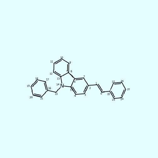 C(=Cc1ccc2c(c1)c1ccccc1n2Cc1ccccc1)c1ccccc1